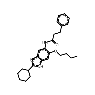 CCCCOc1cc2[nH]c(C3CCCCC3)nc2cc1NC(=O)CCc1ccccc1